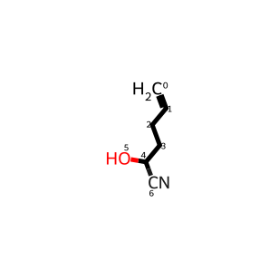 C=CCCC(O)C#N